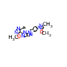 COc1ncnc(C2CC2)c1-c1ncc2cnn(Cc3ccc(-n4nc(C)cc4OC)cc3)c2n1